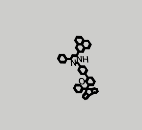 C1=Cc2cc(C3=CC(c4ccccc4)=NC(c4ccc(-c5cccc6c5Oc5ccccc5C65c6ccccc6-c6ccccc65)cc4)N3)cc3cccc(c23)C1